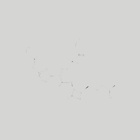 C[C@@H](O)CNC[C@H]1NC(=O)[C@H]1NC(=O)/C(=N\OC(C)(C)C(=O)OC(C)(C)C)c1csc(NC(=O)OC(C)(C)C)n1